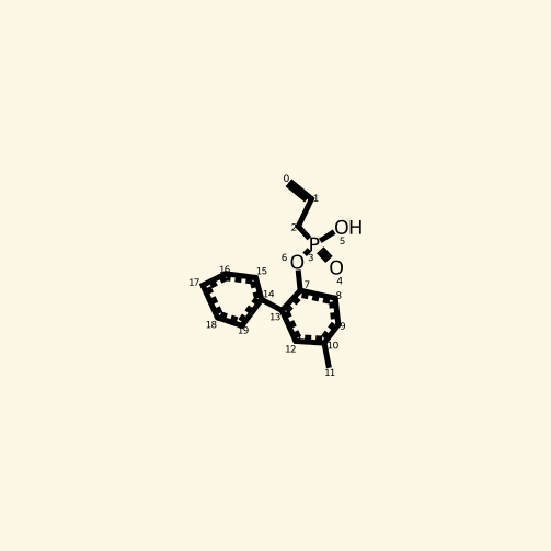 C=CCP(=O)(O)Oc1ccc(C)cc1-c1ccccc1